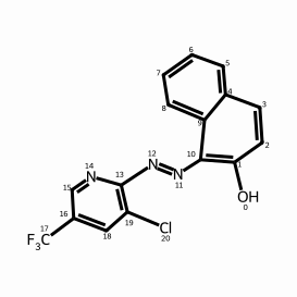 Oc1ccc2ccccc2c1N=Nc1ncc(C(F)(F)F)cc1Cl